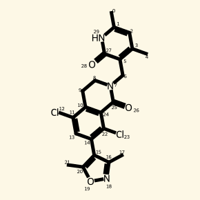 Cc1cc(C)c(CN2CCc3c(Cl)cc(-c4c(C)noc4C)c(Cl)c3C2=O)c(=O)[nH]1